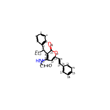 CCC(c1ccccc1)c1c(NC=O)cc(/C=C/c2ccccc2)oc1=O